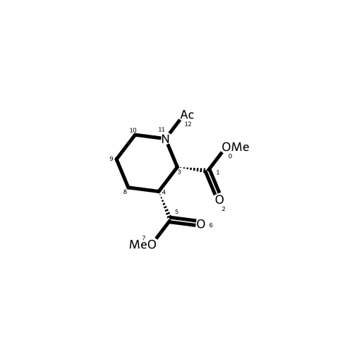 COC(=O)[C@@H]1[C@H](C(=O)OC)CCCN1C(C)=O